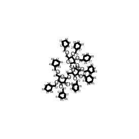 CS[C@H]1OC(COCc2ccccc2)[C@@H](OCc2ccccc2)[C@H](OCc2ccccc2)C1O[C@H]1OC(CO[C@@H]2OC(COCc3ccccc3)[C@@H](OCc3ccccc3)[C@H](OCc3ccccc3)C2C)[C@@H](OCc2ccccc2)[C@H](OCc2ccccc2)C1OCc1ccccc1